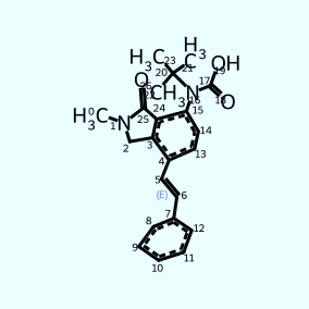 CN1Cc2c(/C=C/c3ccccc3)ccc(N(C(=O)O)C(C)(C)C)c2C1=O